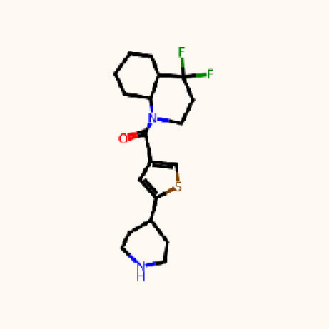 O=C(c1csc(C2CCNCC2)c1)N1CCC(F)(F)C2CCCCC21